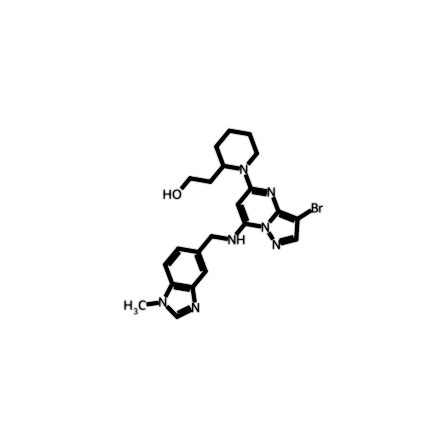 Cn1cnc2cc(CNc3cc(N4CCCCC4CCO)nc4c(Br)cnn34)ccc21